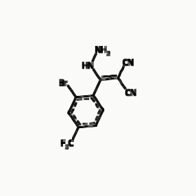 N#CC(C#N)=C(NN)c1ccc(C(F)(F)F)cc1Br